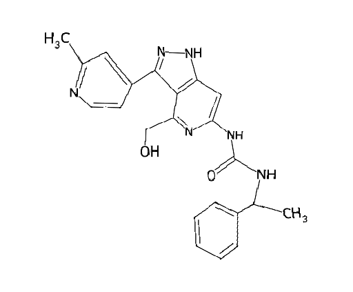 Cc1cc(-c2n[nH]c3cc(NC(=O)NC(C)c4ccccc4)nc(CO)c23)ccn1